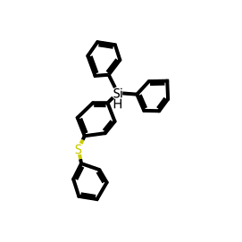 c1ccc(Sc2ccc([SiH](c3ccccc3)c3ccccc3)cc2)cc1